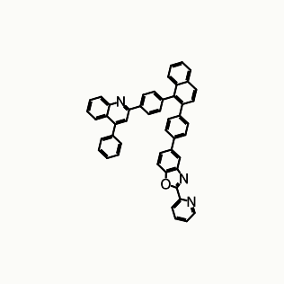 c1ccc(-c2cc(-c3ccc(-c4c(-c5ccc(-c6ccc7oc(-c8ccccn8)nc7c6)cc5)ccc5ccccc45)cc3)nc3ccccc23)cc1